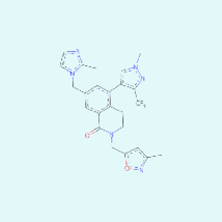 Cc1cc(CN2CCc3c(cc(Cn4ccnc4C)cc3-c3cn(C)nc3C(F)(F)F)C2=O)on1